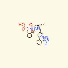 CCCc1cc(C(=O)NC(CC(=O)O)Cc2ccccc2Br)nn1Cc1ccc(-c2ccccc2-c2nnn[nH]2)nc1